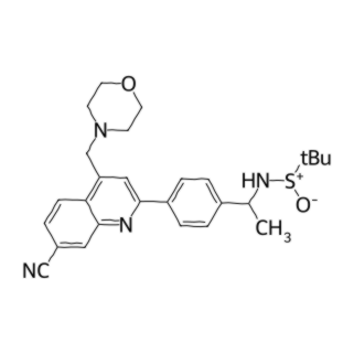 CC(N[S+]([O-])C(C)(C)C)c1ccc(-c2cc(CN3CCOCC3)c3ccc(C#N)cc3n2)cc1